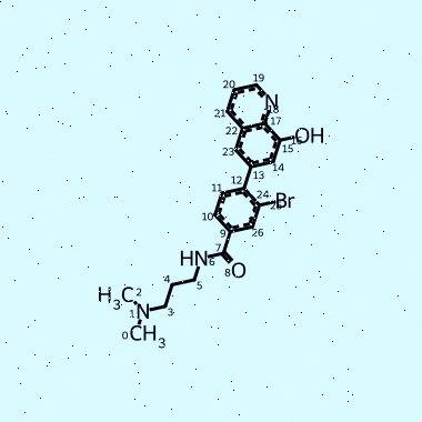 CN(C)CCCNC(=O)c1ccc(-c2cc(O)c3ncccc3c2)c(Br)c1